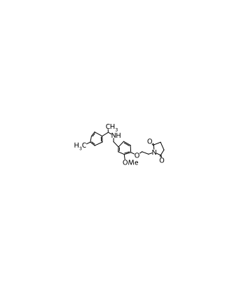 COc1cc(CNC(C)c2ccc(C)cc2)ccc1OCCN1C(=O)CCC1=O